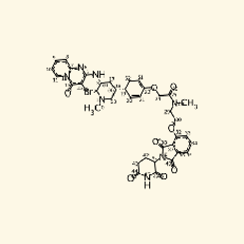 CN1C[C@H](Nc2nc3ccccn3c(=O)c2Br)C[C@H](C2C=CC(OCC(=O)N(C)CCOc3cccc4c3C(=O)N(C3CCC(=O)NC3=O)C4=O)=CC2)C1